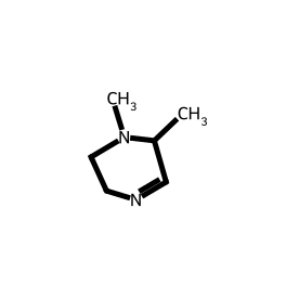 CC1C=NCCN1C